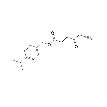 CC(C)c1ccc(COC(=O)CCC(=O)CN)cc1